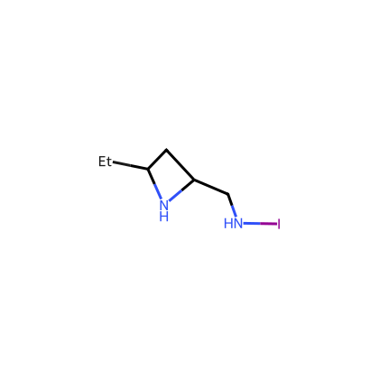 CCC1CC(CNI)N1